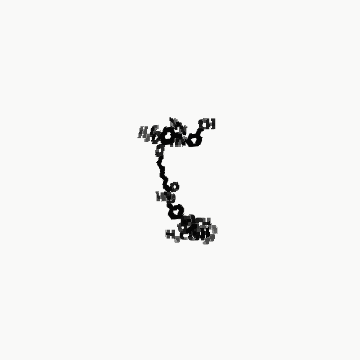 C#Cc1cccc(Nc2ncnc3cc(OC)c(OCCCCCCC(=O)NOCc4ccc(B5OC(C)(C)C(C)(C)O5)cc4)cc23)c1